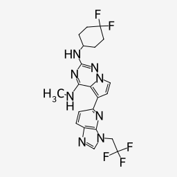 CNc1nc(NC2CCC(F)(F)CC2)nn2ccc(-c3ccc4ncn(CC(F)(F)F)c4n3)c12